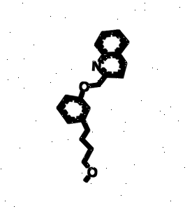 COCCCCc1cccc(OCc2ccc3ccccc3n2)c1